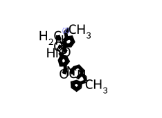 C=Nc1c(/C=C\C)cccc1S(=O)(=O)Nc1ccc(C(=O)N2CCCN(CC(C)c3ccccc3)CC2)cc1